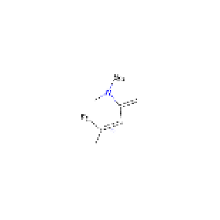 C=C(/C=C(/C)CC)N(C)C(C)(C)C